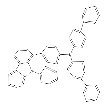 c1ccc(-c2ccc(N(c3ccc(-c4ccccc4)cc3)c3ccc(-c4cccc5c6ccccc6n(-c6ccccc6)c45)cc3)cc2)cc1